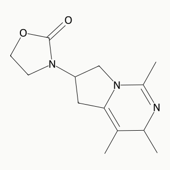 CC1=NC(C)C(C)=C2CC(N3CCOC3=O)CN12